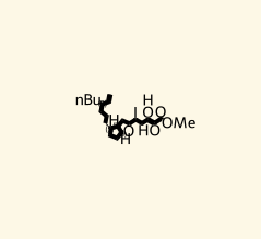 C=C[C@H](CCCC)CCC[C@H]1CC[C@@H]2OC(C(I)CC(O)=C(O)C(=O)OC)C[C@H]12